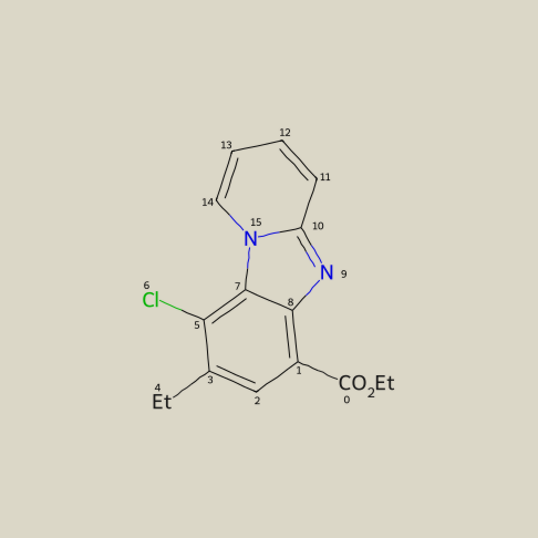 CCOC(=O)c1cc(CC)c(Cl)c2c1nc1ccccn12